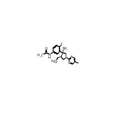 CC(=O)Nc1ccc(F)c([C@]2(N)CN(c3ncc(F)cn3)C[C@H]2CO)c1